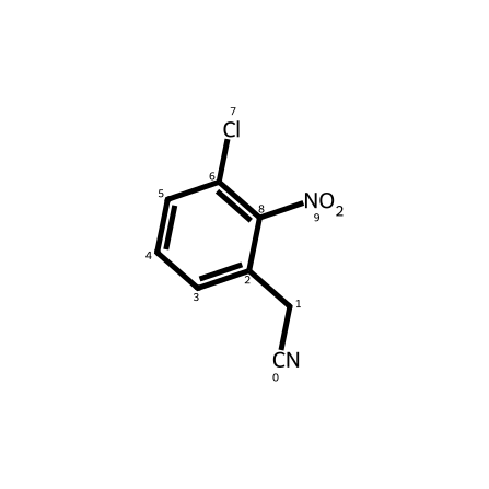 N#CCc1cccc(Cl)c1[N+](=O)[O-]